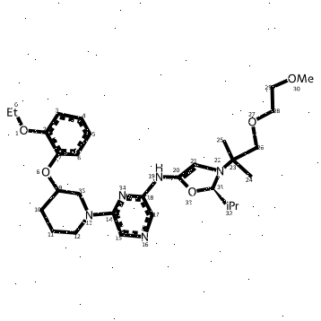 CCOc1ccccc1OC1CCCN(c2cncc(NC3=CN(C(C)(C)COCCOC)[C@@H](C(C)C)O3)n2)C1